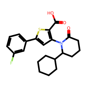 O=C(O)c1sc(-c2cccc(F)c2)cc1N1C(=O)CCCC1C1CCCCC1